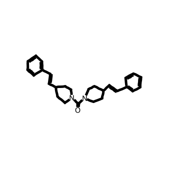 O=C(N1CCC(C=Cc2ccccc2)CC1)N1CCC(C=Cc2ccccc2)CC1